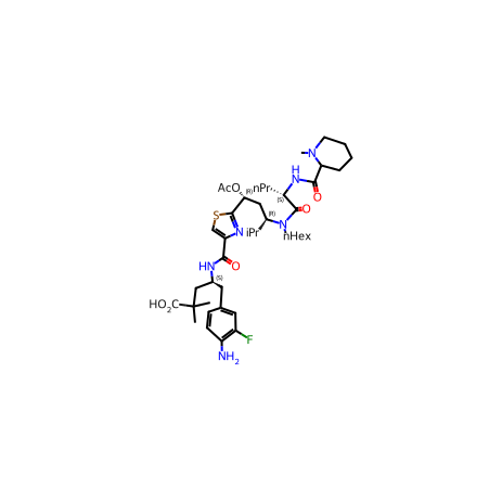 CCCCCCN(C(=O)[C@H](CCC)NC(=O)C1CCCCN1C)[C@H](C[C@@H](OC(C)=O)c1nc(C(=O)N[C@@H](Cc2ccc(N)c(F)c2)CC(C)(C)C(=O)O)cs1)C(C)C